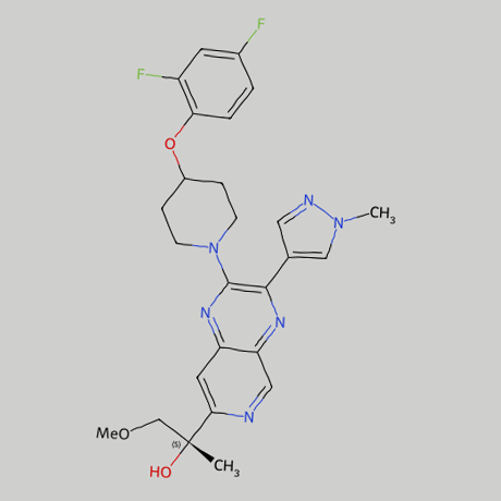 COC[C@@](C)(O)c1cc2nc(N3CCC(Oc4ccc(F)cc4F)CC3)c(-c3cnn(C)c3)nc2cn1